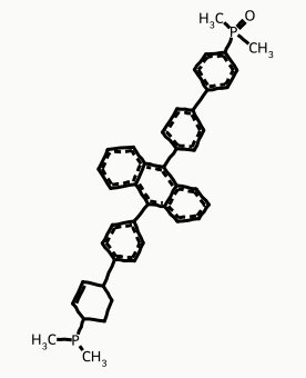 CP(C)C1C=CC(c2ccc(-c3c4ccccc4c(-c4ccc(-c5ccc(P(C)(C)=O)cc5)cc4)c4ccccc34)cc2)CC1